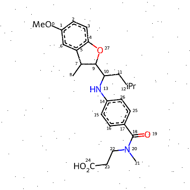 COc1ccc2c(c1)C(C)C(C(CC(C)C)Nc1ccc(C(=O)N(C)CCC(=O)O)cc1)O2